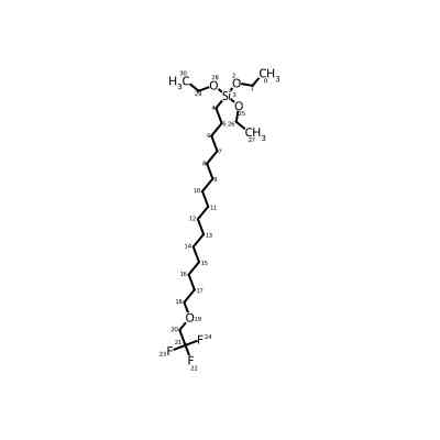 CCO[Si](CCCCCCCCCCCCCCCOCC(F)(F)F)(OCC)OCC